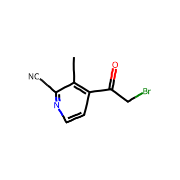 Cc1c(C(=O)CBr)ccnc1C#N